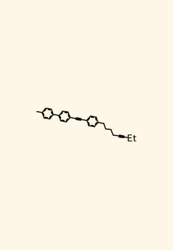 CCC#CCCCCc1ccc(C#Cc2ccc(-c3ccc(C)cc3)cc2)cc1